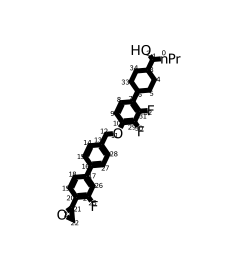 CCCC(O)C1CCC(c2ccc(OCc3ccc(-c4ccc(C5CO5)c(F)c4)cc3)c(F)c2F)CC1